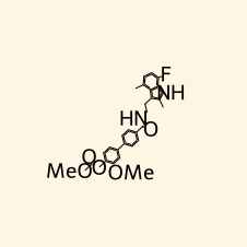 COC(=O)Oc1ccc(-c2ccc(C(=O)NCCc3c(C)[nH]c4c(F)ccc(C)c34)cc2)cc1OC